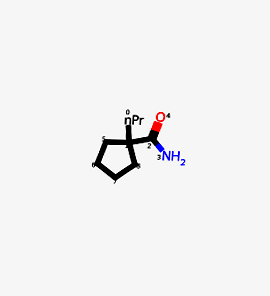 CCCC1(C(N)=O)CCCC1